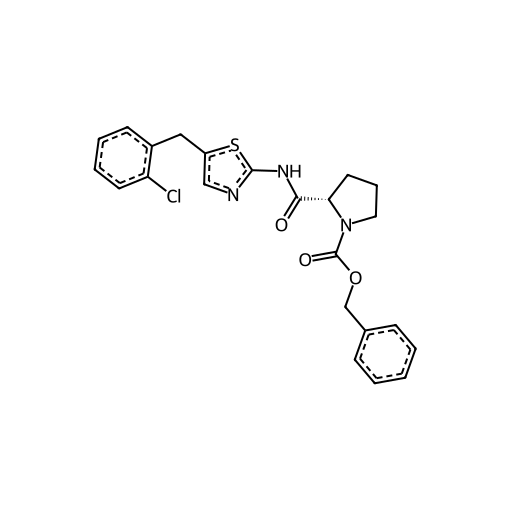 O=C(Nc1ncc(Cc2ccccc2Cl)s1)[C@@H]1CCCN1C(=O)OCc1ccccc1